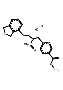 COC(=O)c1ccc(CN(CCc2cccc3c2CNC3)[SH](=O)=O)nc1.Cl.Cl